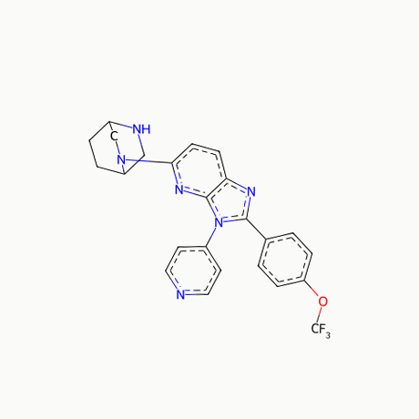 FC(F)(F)Oc1ccc(-c2nc3ccc(N4CC5CCC4CN5)nc3n2-c2ccncc2)cc1